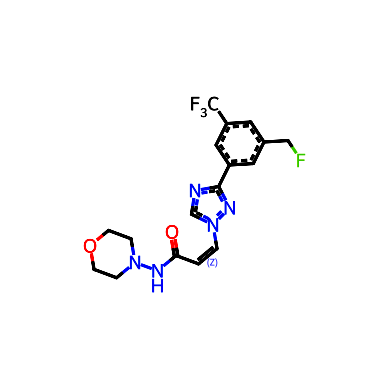 O=C(/C=C\n1cnc(-c2cc(CF)cc(C(F)(F)F)c2)n1)NN1CCOCC1